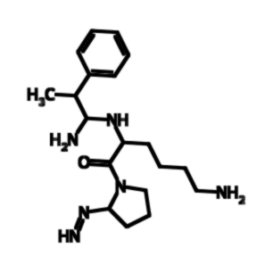 CC(c1ccccc1)C(N)NC(CCCCN)C(=O)N1CCCC1N=N